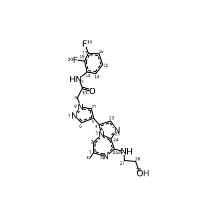 Cc1cn2c(-c3cnn(CC(=O)Nc4cccc(F)c4F)c3)cnc2c(NCCO)n1